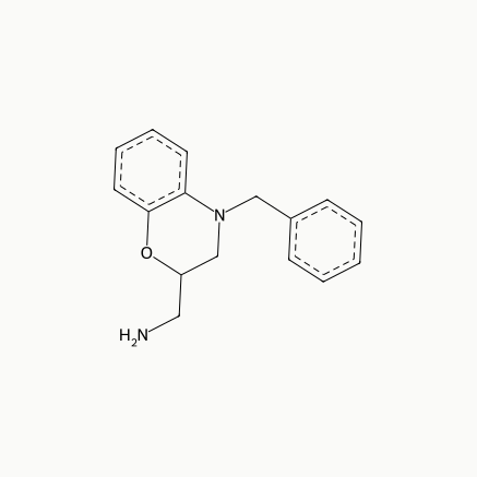 NCC1CN(Cc2ccccc2)c2ccccc2O1